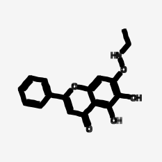 CCNOc1cc2oc(-c3ccccc3)cc(=O)c2c(O)c1O